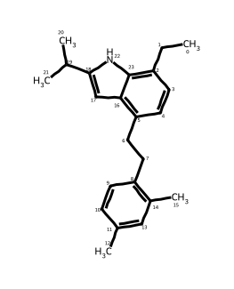 CCc1ccc(CCc2ccc(C)cc2C)c2cc(C(C)C)[nH]c12